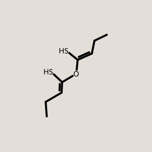 CC/C=C(\S)O/C(S)=C/CC